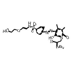 CCCCC(CC)Cn1c(O)c(/N=N/c2ccc(S(=O)(=O)NCCOCCO)cc2)c(C)c(C)c1=O